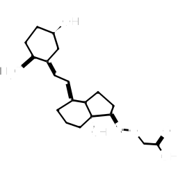 C=C1CC[C@@H](O)C/C1=C\C=C1/CCC[C@]2(C)/C(=N/OCC(=O)O)CCC12